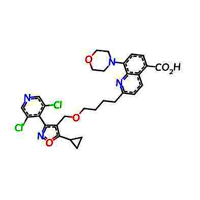 O=C(O)c1ccc(N2CCOCC2)c2nc(CCCCOCc3c(-c4c(Cl)cncc4Cl)noc3C3CC3)ccc12